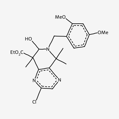 CCOC(=O)C1(C)c2nc(Cl)cnc2C(C)(C)N(Cc2ccc(OC)cc2OC)C1O